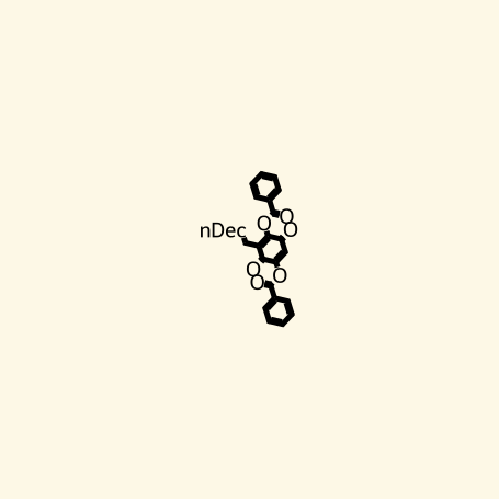 CCCCCCCCCCCC1=C(OC(=O)c2ccccc2)C(=O)C=C(OC(=O)c2ccccc2)C1=O